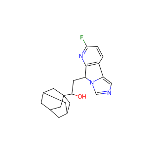 OC(CC1c2nc(F)ccc2-c2cncn21)C12CC3CC(CC(C3)C1)C2